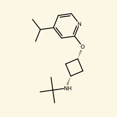 CC(C)c1ccnc(O[C@H]2C[C@@H](NC(C)(C)C)C2)c1